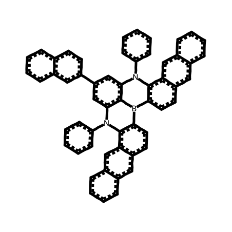 c1ccc(N2c3cc(-c4ccc5ccccc5c4)cc4c3B(c3ccc5cc6ccccc6cc5c32)c2ccc3cc5ccccc5cc3c2N4c2ccccc2)cc1